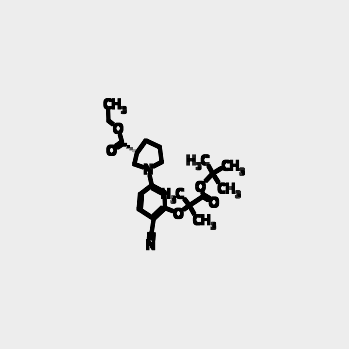 CCOC(=O)[C@@H]1CCCN(c2ccc(C#N)c(OC(C)(C)C(=O)OC(C)(C)C)c2)C1